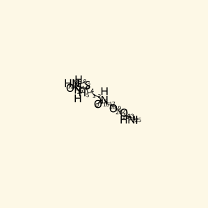 O=C(CCCC[C@@H]1SC[C@@H]2NC(=O)N[C@@H]21)NCCOCCOCCNI